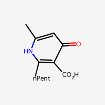 CCCCCc1[nH]c(C)cc(=O)c1C(=O)O